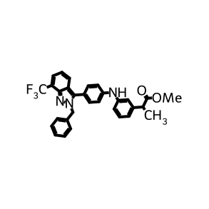 COC(=O)C(C)c1cccc(Nc2ccc(-c3c4cccc(C(F)(F)F)c4nn3Cc3ccccc3)cc2)c1